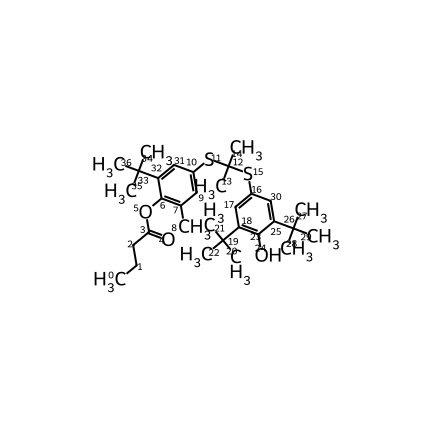 CCCC(=O)Oc1c(C)cc(SC(C)(C)Sc2cc(C(C)(C)C)c(O)c(C(C)(C)C)c2)cc1C(C)(C)C